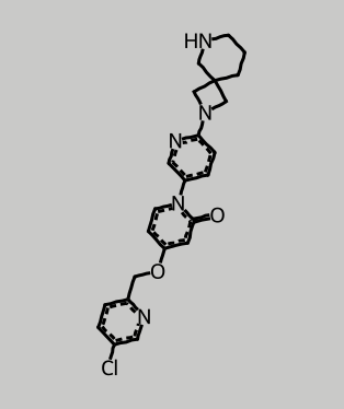 O=c1cc(OCc2ccc(Cl)cn2)ccn1-c1ccc(N2CC3(CCCNC3)C2)nc1